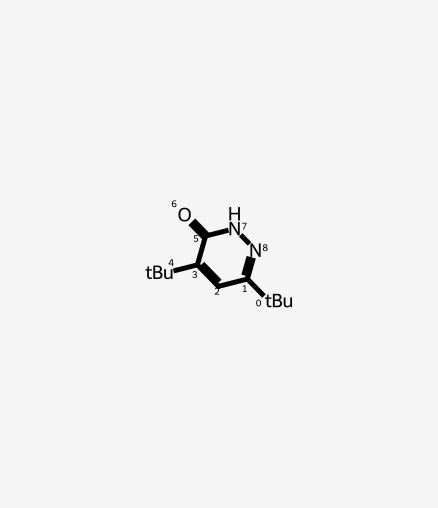 CC(C)(C)c1cc(C(C)(C)C)c(=O)[nH]n1